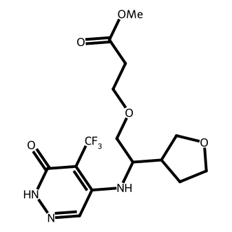 COC(=O)CCOCC(Nc1cn[nH]c(=O)c1C(F)(F)F)C1CCOC1